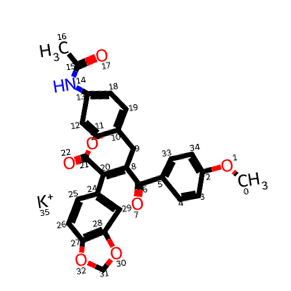 COc1ccc(C(=O)C(Cc2ccc(NC(C)=O)cc2)=C(C(=O)[O-])c2ccc3c(c2)OCO3)cc1.[K+]